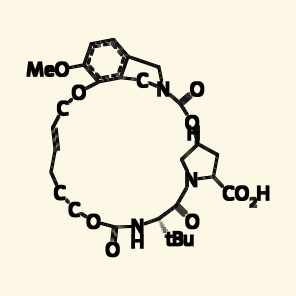 COc1ccc2c3c1OC/C=C/CCCOC(=O)N[C@@H](C(C)(C)C)C(=O)N1C[C@@H](CC1C(=O)O)OC(=O)N(C2)C3